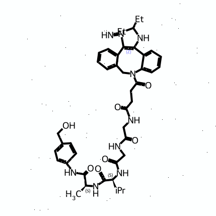 CCC(CC)N/C1=C(\N=N)c2ccccc2CN(C(=O)CCC(=O)NCC(=O)NCC(=O)N[C@H](C(=O)N[C@@H](C)C(=O)Nc2ccc(CO)cc2)C(C)C)c2ccccc21